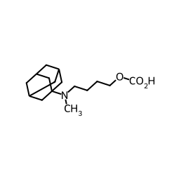 CN(CCCCOC(=O)O)C12CC3CC(CC(C3)C1)C2